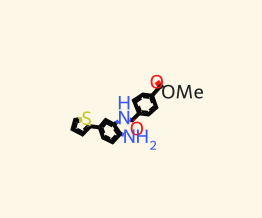 COC(=O)c1ccc(C(=O)Nc2cc(-c3cccs3)ccc2N)cc1